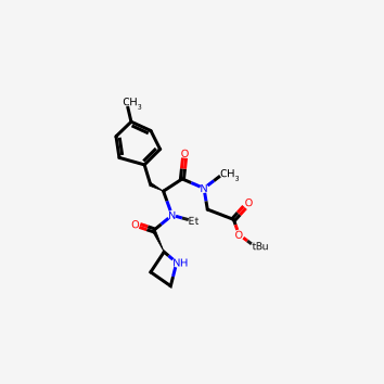 CCN(C(=O)[C@@H]1CCN1)[C@@H](Cc1ccc(C)cc1)C(=O)N(C)CC(=O)OC(C)(C)C